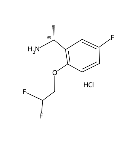 C[C@@H](N)c1cc(F)ccc1OCC(F)F.Cl